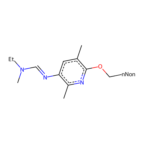 CCCCCCCCCCOc1nc(C)c(/N=C/N(C)CC)cc1C